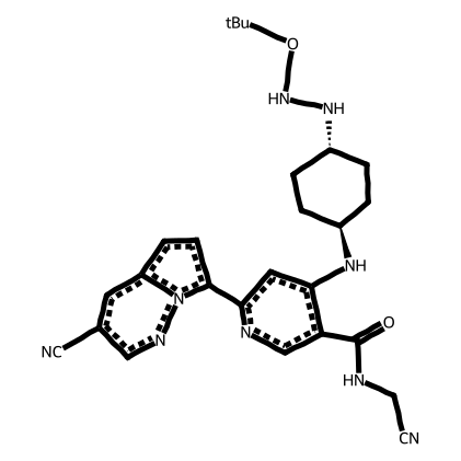 CC(C)(C)ONN[C@H]1CC[C@H](Nc2cc(-c3ccc4cc(C#N)cnn34)ncc2C(=O)NCC#N)CC1